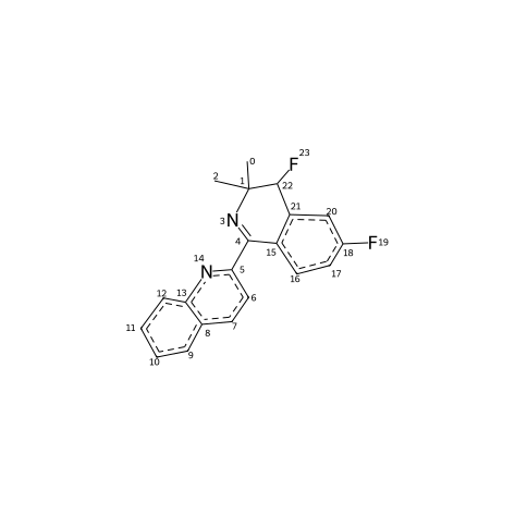 CC1(C)N=C(c2ccc3ccccc3n2)c2ccc(F)cc2C1F